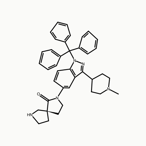 CN1CCC(c2nn(C(c3ccccc3)(c3ccccc3)c3ccccc3)c3ccc(N4CC[C@]5(CCNC5)C4=O)cc23)CC1